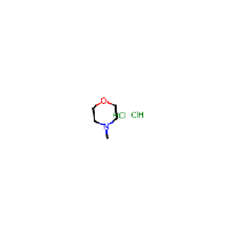 CN1CCOCC1.Cl.Cl